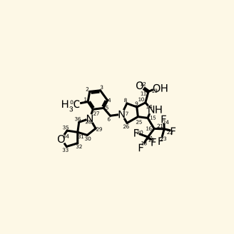 Cc1cccc(CN2CC3C(C(=O)O)NC(C(C(F)(F)F)C(F)(F)F)C3C2)c1N1CCC2(CCOC2)C1